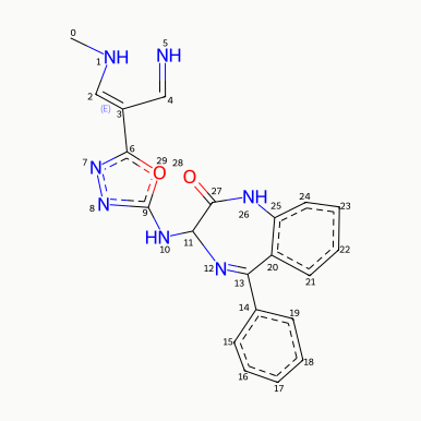 CN/C=C(\C=N)c1nnc(NC2N=C(c3ccccc3)c3ccccc3NC2=O)o1